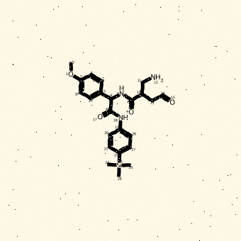 COc1ccc(C(NC(=O)C(CN)CC=O)C(=O)Nc2ccc([Si](C)(C)C)cc2)cc1